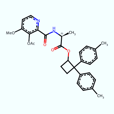 COc1ccnc(C(=O)N[C@@H](C)C(=O)OC2CCC2(c2ccc(C)cc2)c2ccc(C)cc2)c1OC(C)=O